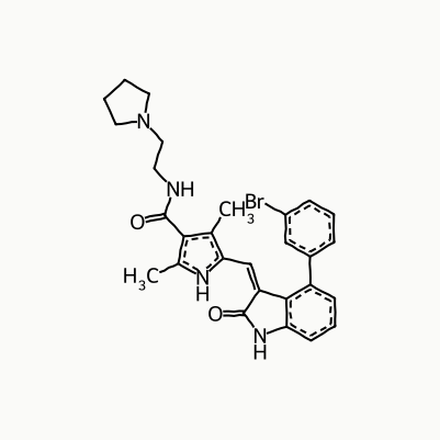 Cc1[nH]c(/C=C2\C(=O)Nc3cccc(-c4cccc(Br)c4)c32)c(C)c1C(=O)NCCN1CCCC1